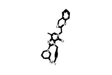 CC#CCn1c(N2CCCC(N)C2)nc2c(C)cn(CC3=Nc4ccccc4CO3)c(=O)c21